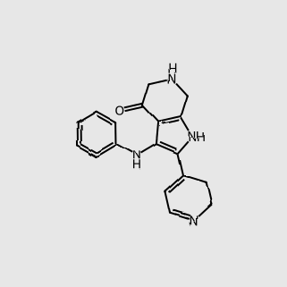 O=C1CNCc2[nH]c(C3=CC=NCC3)c(NC3=C=C=CC=C3)c21